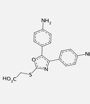 Nc1ccc(-c2nc(SCC(=O)O)oc2-c2ccc(N)cc2)cc1